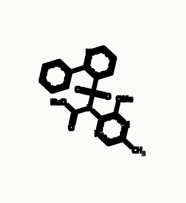 COc1nc(C)cnc1N(C(=O)OCC(C)C)S(=O)(=O)c1cccnc1-c1ccccc1